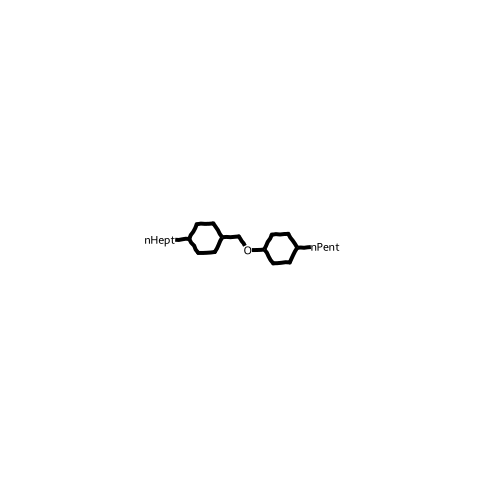 CCCCCCCC1CCC(COC2CCC(CCCCC)CC2)CC1